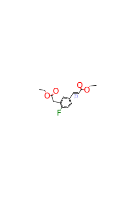 CCOC(=O)/C=C/c1ccc(F)c(CC(=O)OCC)c1